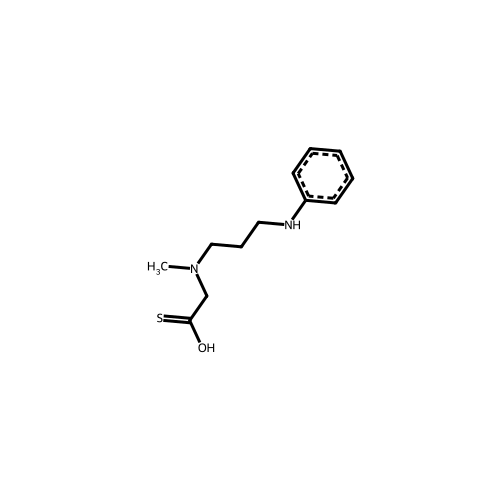 CN(CCCNc1ccccc1)CC(O)=S